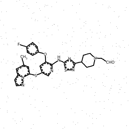 Cc1cc(Sc2cnc(Nc3nc(C4CCN(CC=O)CC4)ns3)c(Oc3ccc(F)cc3)c2)n2nccc2c1